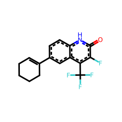 O=c1[nH]c2ccc(C3=CCCCC3)cc2c(C(F)(F)F)c1F